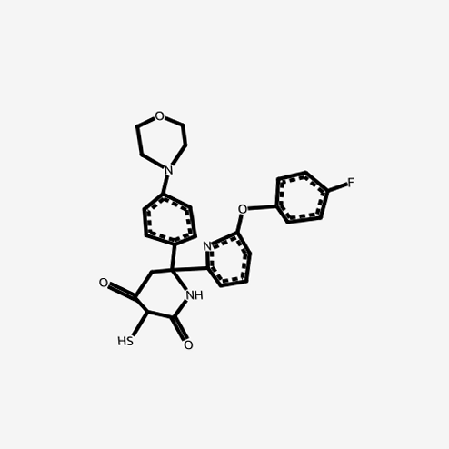 O=C1CC(c2ccc(N3CCOCC3)cc2)(c2cccc(Oc3ccc(F)cc3)n2)NC(=O)C1S